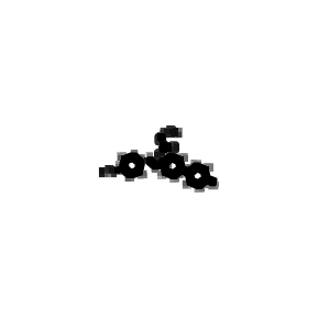 CCCCOC(=O)OC1(CC[C@H]2CC[C@H](CCC)CC2)CCC(C2CCC(C)CC2)CC1